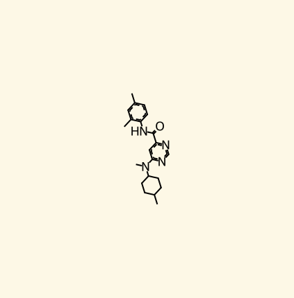 Cc1ccc(NC(=O)c2cc(N(C)C3CCC(C)CC3)ncn2)c(C)c1